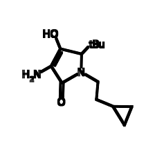 CC(C)(C)C1C(O)=C(N)C(=O)N1CCC1CC1